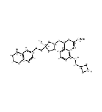 COC(=O)CC(CN1CC[C@@](F)(CCc2ccc3c(n2)NCCC3)C1)c1cccc(OCC2COC2)c1